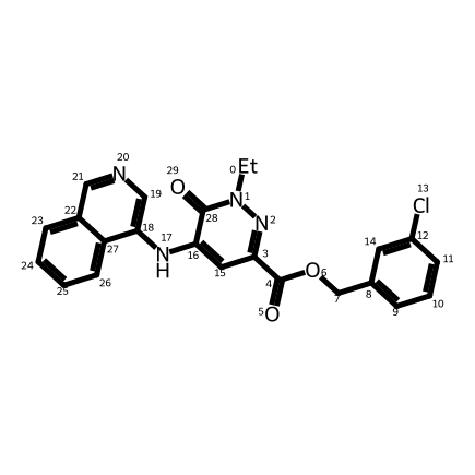 CCn1nc(C(=O)OCc2cccc(Cl)c2)cc(Nc2cncc3ccccc23)c1=O